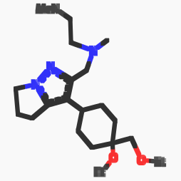 CCOCC1(OCC)CCC(c2c(CN(C)CCNC)nn3c2CCC3)CC1